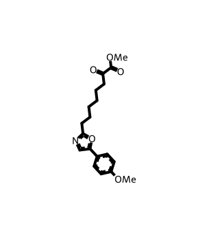 COC(=O)C(=O)CCCCCCc1ncc(-c2ccc(OC)cc2)o1